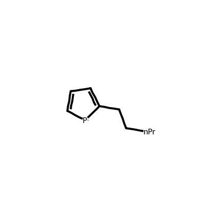 CCCCCC1=CC=C[P]1